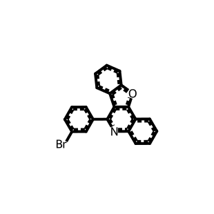 Brc1cccc(-c2nc3ccccc3c3oc4ccccc4c23)c1